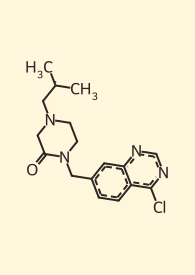 C[C](C)CN1CCN(Cc2ccc3c(Cl)ncnc3c2)C(=O)C1